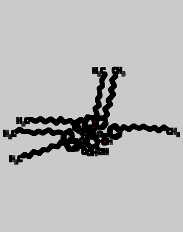 CCCCCCCCCCc1ccc(C(=O)O[C@@]2(C(=O)c3ccc(CCCCCCCCCC)cc3)[C@@](OC(=O)c3ccc(CCCCCCCCCC)cc3)(C(=O)c3ccc(CCCCCCCCCC)cc3)[C@@H](O)[C@H](O)[C@@H](O)[C@@]2(OC(=O)c2ccc(CCCCCCCCCC)cc2)C(=O)c2ccc(CCCCCCCCCC)cc2)cc1